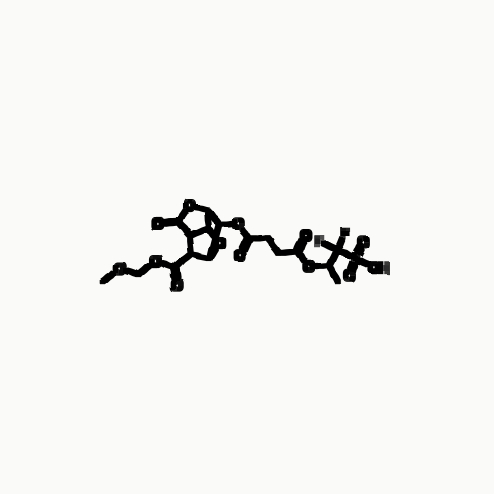 COCOC(=O)C1C2OC3C(OC(=O)C31)C2OC(=O)CCC(=O)OC(C)C(F)(F)S(=O)(=O)O